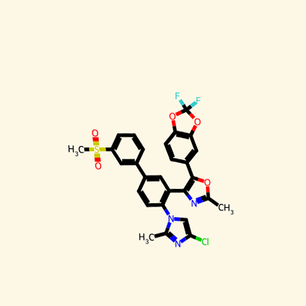 Cc1nc(-c2cc(-c3cccc(S(C)(=O)=O)c3)ccc2-n2cc(Cl)nc2C)c(-c2ccc3c(c2)OC(F)(F)O3)o1